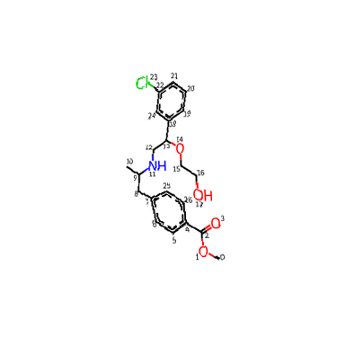 COC(=O)c1ccc(CC(C)NCC(OCCO)c2cccc(Cl)c2)cc1